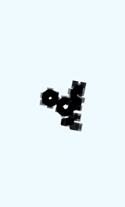 O=C(O)N[C@@H]1CC[C@@H](C2CCCCC2)Cn2c(CC(F)(F)F)cnc21